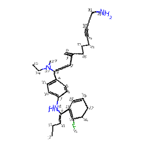 C=C(/C=C(/c1ccc(N/C(=C\CC)C2=C(F)CCC=C2)cc1)N(C)CC)CCCC#CCN